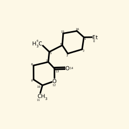 CCC1CCC(C(C)C2CCC(C)OC2=O)CC1